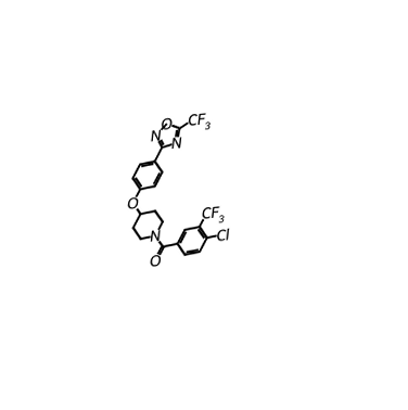 O=C(c1ccc(Cl)c(C(F)(F)F)c1)N1CCC(Oc2ccc(-c3noc(C(F)(F)F)n3)cc2)CC1